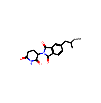 COC(C)Cc1ccc2c(c1)C(=O)N(C1CCC(=O)NC1=O)C2=O